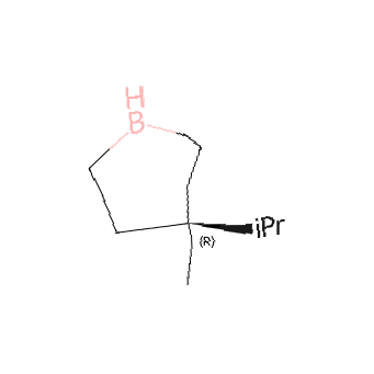 CC(C)[C@]1(C)CBCC1